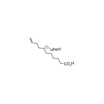 C=CCCCCCCCCC(=O)O.CCCCCCl